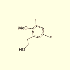 COc1c(C)cc(F)cc1CCO